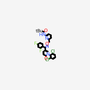 CC(C)(C)C(=O)Nc1cccc(CON=C(c2ccc(=O)n(-c3c(Cl)cccc3Cl)c2)c2ccc(F)cc2F)n1